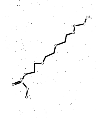 COPOCCOCCOCCO[PH](=O)OC